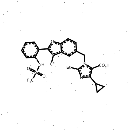 CCc1nc(C2CC2)c(C(=O)O)n1Cc1ccc2oc(-c3ccccc3NS(=O)(=O)C(F)(F)F)c(C(F)(F)F)c2c1